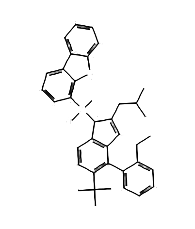 CCc1ccccc1-c1c(C(C)(C)C)ccc2c1C=C(CC(C)C)[CH]2[Zr]([Cl])([Cl])[c]1cccc2c1[SiH2]c1ccccc1-2